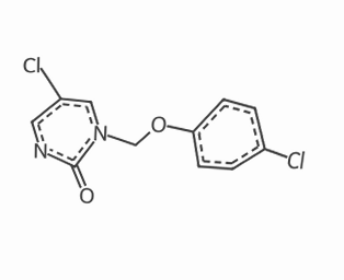 O=c1ncc(Cl)cn1COc1ccc(Cl)cc1